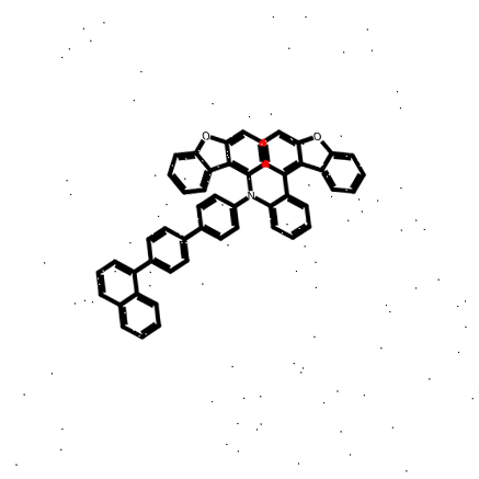 c1ccc(N(c2ccc(-c3ccc(-c4cccc5ccccc45)cc3)cc2)c2cccc3oc4ccccc4c23)c(-c2cccc3oc4ccccc4c23)c1